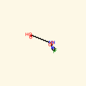 O=C(O)CCCCCCCCCCCCCCNS(=O)(=O)CCN1CCC(F)(F)CC1